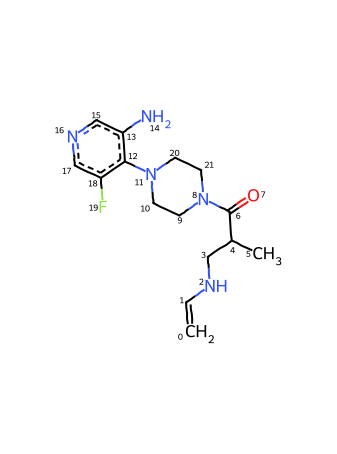 C=CNCC(C)C(=O)N1CCN(c2c(N)cncc2F)CC1